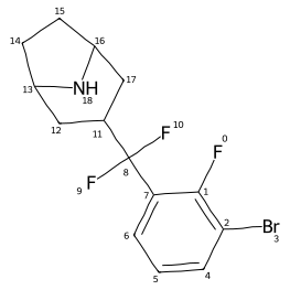 Fc1c(Br)cccc1C(F)(F)C1CC2CCC(C1)N2